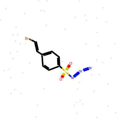 [N-]=[N+]=NS(=O)(=O)c1ccc(C=CBr)cc1